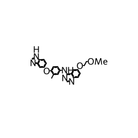 COCCOc1ccc2ncnc(Nc3ccc(Oc4ccc5[nH]cnc5c4)c(C)c3)c2c1